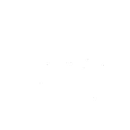 CC1(C)c2cc(-c3ccc(N(c4cc5ccccc5c5ccccc45)c4cccc5c4oc4ccccc45)cc3)ccc2C2(C)C=CCCC12